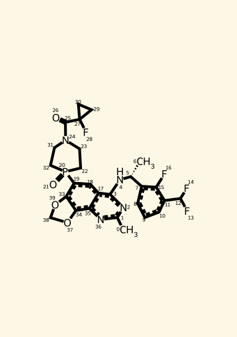 Cc1nc(N[C@H](C)c2cccc(C(F)F)c2F)c2cc(P3(=O)CCN(C(=O)C4(F)CC4)CC3)c3c(c2n1)OCO3